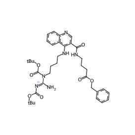 CC(C)(C)OC(=O)/N=C(\N)N(CCCCNc1c(C(=O)NCCCC(=O)OCc2ccccc2)cnc2ccccc12)C(=O)OC(C)(C)C